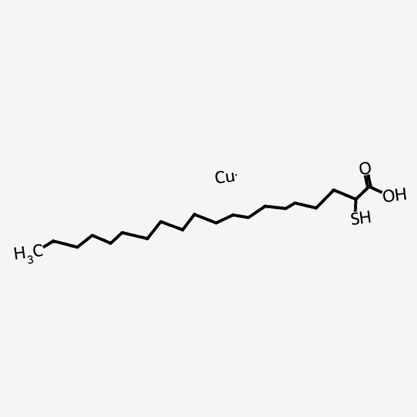 CCCCCCCCCCCCCCCCCCC(S)C(=O)O.[Cu]